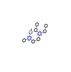 C=C1C=CC(c2nc(-c3ccccc3)nc(-c3cccc(-c4cccc(-c5nc(-c6cccc(-c7ccccc7)c6)nc(-c6cccc(-c7ccccc7)c6)n5)c4)c3)n2)=CC1